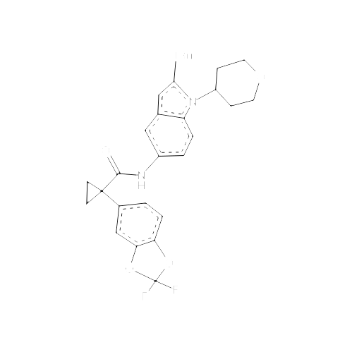 CC(C)(C)c1cc2cc(NC(=O)C3(c4ccc5c(c4)OC(F)(F)O5)CC3)ccc2n1C1CCOCC1